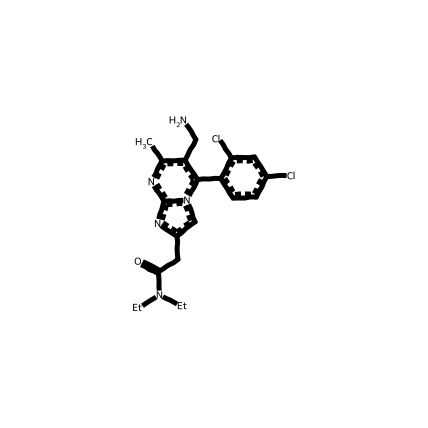 CCN(CC)C(=O)Cc1cn2c(-c3ccc(Cl)cc3Cl)c(CN)c(C)nc2n1